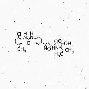 Cc1ccc(Cl)c(NC(=O)Nc2ccc(-c3cc(C(=O)N[C@H](C(=O)O)C(C)C)on3)cc2)c1